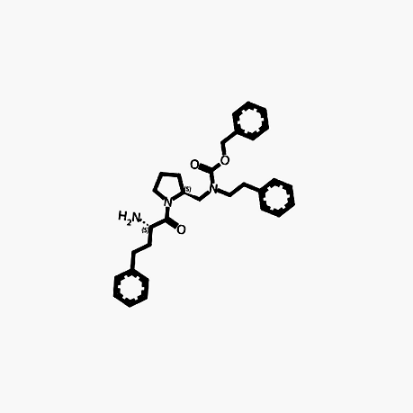 N[C@@H](CCc1ccccc1)C(=O)N1CCC[C@H]1CN(CCc1ccccc1)C(=O)OCc1ccccc1